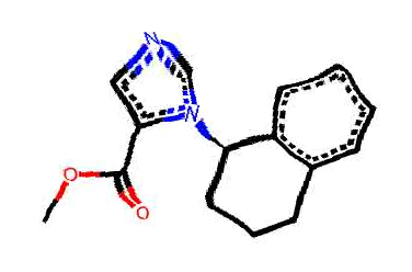 COC(=O)c1cncn1[C@@H]1CCCc2ccccc21